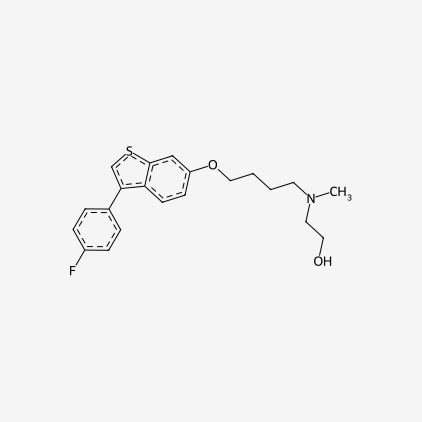 CN(CCO)CCCCOc1ccc2c(-c3ccc(F)cc3)csc2c1